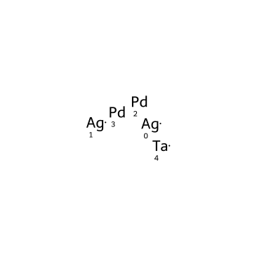 [Ag].[Ag].[Pd].[Pd].[Ta]